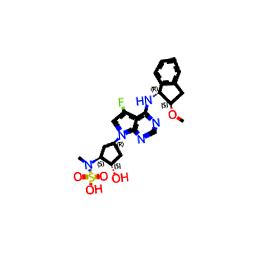 CO[C@H]1Cc2ccccc2[C@H]1Nc1ncnc2c1c(F)cn2[C@H]1C[C@H](O)[C@@H](N(C)S(=O)(=O)O)C1